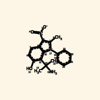 Cc1c([N+](=O)[O-])c2ccc(O)c(C(C)(C)N)c2n1-c1ccccc1